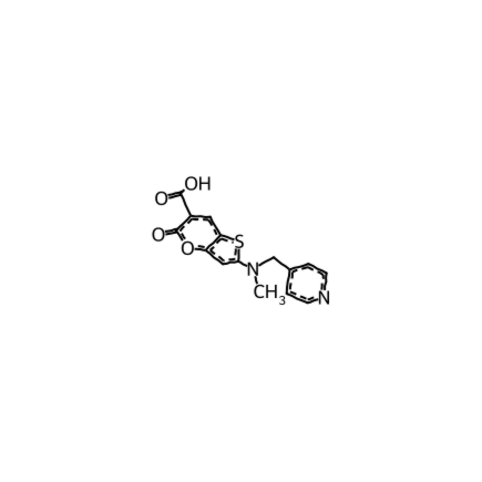 CN(Cc1ccncc1)c1cc2oc(=O)c(C(=O)O)cc2s1